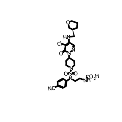 N#Cc1ccc(N(CCNC(=O)O)S(=O)(=O)N2CCC(n3ncc(NC[C@@H]4CCCOC4)c(Cl)c3=O)CC2)cc1